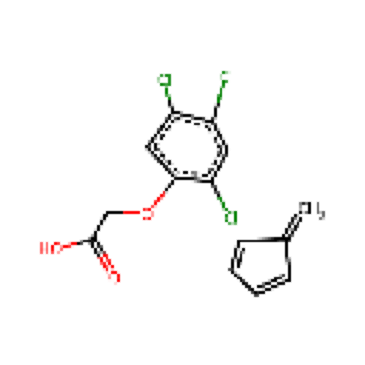 C=C1C=CC=C1.O=C(O)COc1cc(Cl)c(Cl)cc1Cl